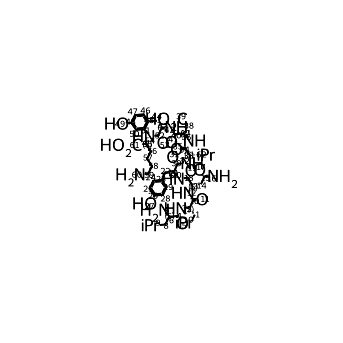 CC(C)C[C@H](NC(=O)[C@@H](N)CC(C)C)C(=O)N[C@@H](CC(N)=O)C(=O)N[C@@H](Cc1ccc(O)cc1)C(=O)N[C@H](C(=O)N[C@@H](CC(=O)O)C(=O)N[C@@H](Cc1ccc(O)cc1)C(=O)N[C@@H](CCCCN)C(=O)O)C(C)C